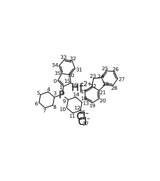 C1=C(P(C2CCCCC2)C2CCCCC2)[CH]([Hf+2][c]2cccc3c2Cc2ccccc2-3)c2ccccc21.[Cl-].[Cl-]